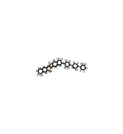 c1ccc(-c2ccc(-c3ccc(-c4ccc5cc6sc7c8cc9ccccc9cc8sc7c6cc5c4)cc3)cc2)cc1